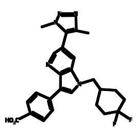 Cc1nnn(C)c1-c1cnc2c(-c3ccc(C(=O)O)cc3)cn(CC3CCC(F)(F)CC3)c2c1